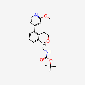 COc1cc(-c2cccc3c2CCO[C@@H]3CNC(=O)OC(C)(C)C)ccn1